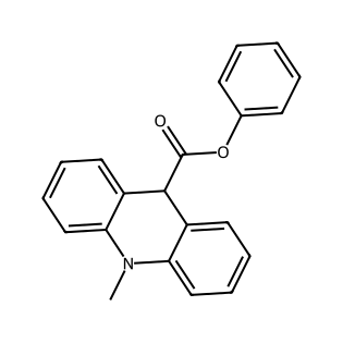 CN1c2ccccc2C(C(=O)Oc2ccccc2)c2ccccc21